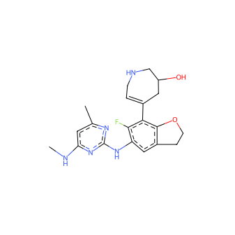 CNc1cc(C)nc(Nc2cc3c(c(C4=CCNCC(O)C4)c2F)OCC3)n1